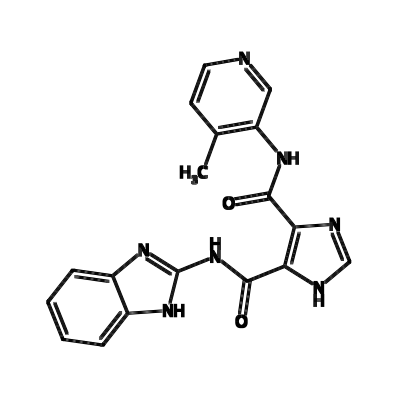 Cc1ccncc1NC(=O)c1nc[nH]c1C(=O)Nc1nc2ccccc2[nH]1